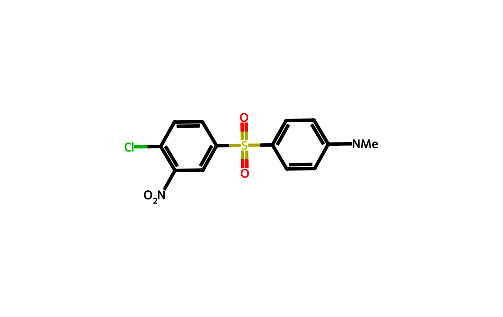 CNc1ccc(S(=O)(=O)c2ccc(Cl)c([N+](=O)[O-])c2)cc1